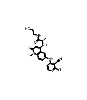 C[C@@H](Nc1cc(=O)n(C)c2ccc(Nc3ccnc(Cl)c3C#N)cc12)C(=O)NCCO